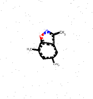 Cc1cc(C)c2onc(C)c2c1